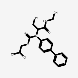 CC(C)CC(C(=O)NCC#N)N(C(=O)OCC(Cl)Cl)c1ccc(-c2ccccc2)cc1